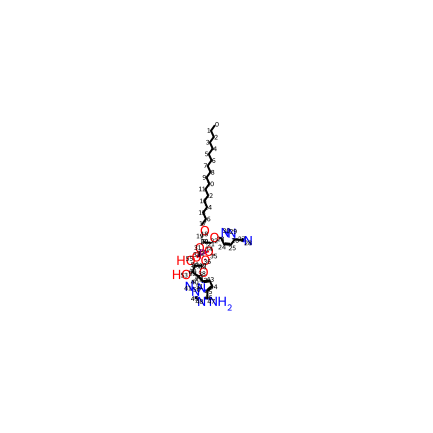 CCCCCCCCCCCCCCCCCCOC[C@H](COc1ccc(C#N)nn1)OP(=O)(OC)O[C@H]1O[C@@](C#N)(c2ccc3c(N)ncnn23)[C@H](O)[C@@H]1O